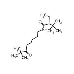 CCC(C(=O)NCCCCCC(=O)C(C)(C)C)C(C)(C)C